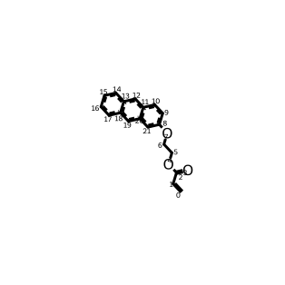 C=CC(=O)OCCOc1ccc2cc3ccccc3cc2c1